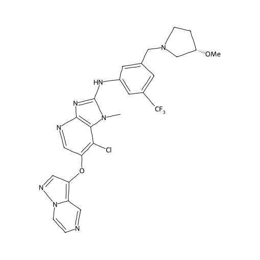 CO[C@H]1CCN(Cc2cc(Nc3nc4ncc(Oc5cnn6ccncc56)c(Cl)c4n3C)cc(C(F)(F)F)c2)C1